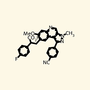 COc1cc2ncc3c(c(-c4ccc(C#N)cc4)nn3C)c2cc1CC(C(=O)O)c1ccc(F)cc1